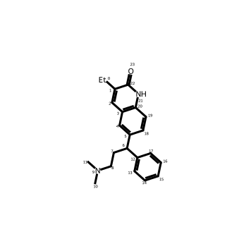 CCc1cc2cc(C(CCN(C)C)c3ccccc3)ccc2[nH]c1=O